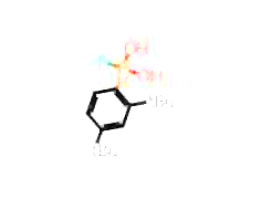 CC(C)(C)c1ccc([PH](O)(O)F)c(C(C)(C)C)c1